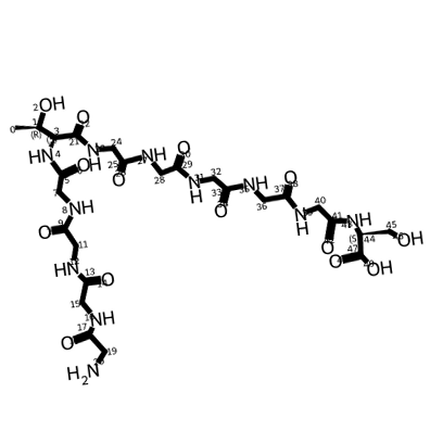 C[C@@H](O)[C@H](NC(=O)CNC(=O)CNC(=O)CNC(=O)CN)C(=O)NCC(=O)NCC(=O)NCC(=O)NCC(=O)NCC(=O)N[C@@H](CO)C(=O)O